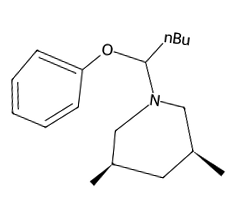 CCCCC(Oc1ccccc1)N1C[C@H](C)C[C@H](C)C1